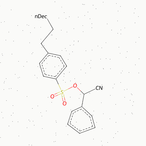 CCCCCCCCCCCCc1ccc(S(=O)(=O)OC(C#N)c2ccccc2)cc1